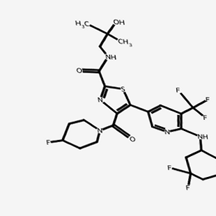 CC(C)(O)CNC(=O)c1nc(C(=O)N2CCC(F)CC2)c(-c2cnc(NC3CCCC(F)(F)C3)c(C(F)(F)F)c2)s1